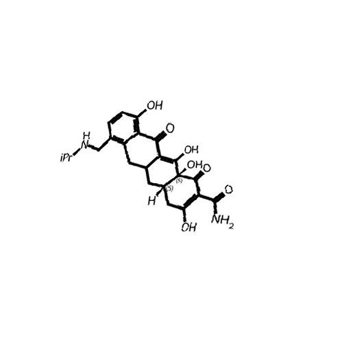 CC(C)NCc1ccc(O)c2c1CC1C[C@H]3CC(O)=C(C(N)=O)C(=O)[C@@]3(O)C(O)=C1C2=O